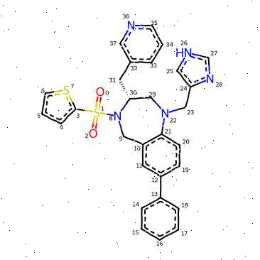 O=S(=O)(c1cccs1)N1Cc2cc(-c3ccccc3)ccc2N(Cc2c[nH]cn2)C[C@H]1Cc1cccnc1